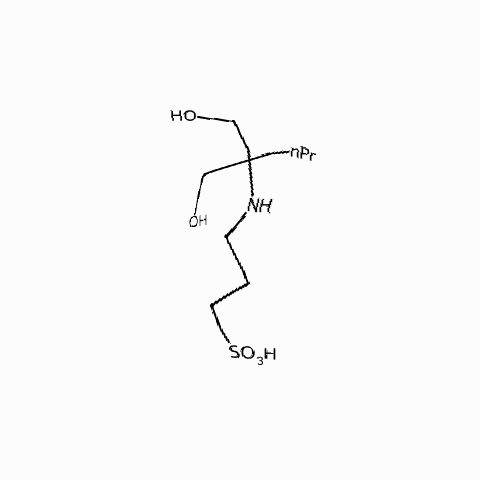 CCCC(CO)(CO)NCCCS(=O)(=O)O